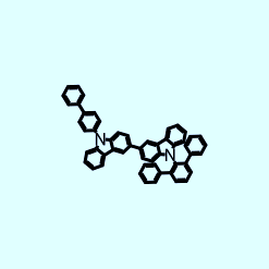 c1ccc(-c2ccc(-n3c4ccccc4c4cc(-c5ccc6c(c5)c5ccccc5n6-c5c(-c6ccccc6)cccc5-c5ccccc5)ccc43)cc2)cc1